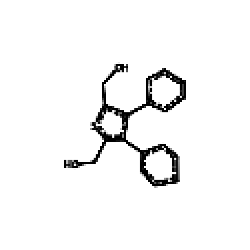 OCc1sc(CO)c(-c2ccccc2)c1-c1ccccc1